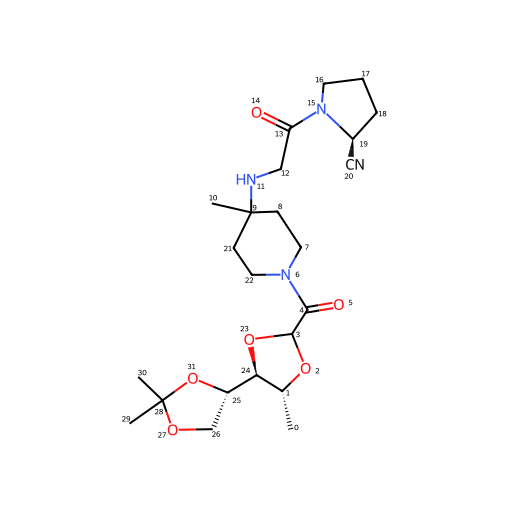 C[C@H]1OC(C(=O)N2CCC(C)(NCC(=O)N3CCC[C@H]3C#N)CC2)O[C@@H]1[C@@H]1COC(C)(C)O1